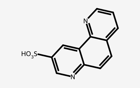 O=S(=O)(O)c1cnc2ccc3cccnc3c2c1